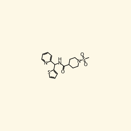 CS(=O)(=O)N1CCC(C(=O)NC(c2ccccn2)c2cccs2)CC1